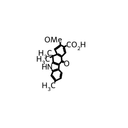 COc1cc2c(cc1C(=O)O)C(=O)c1c([nH]c3cc(C)ccc13)C2(C)C